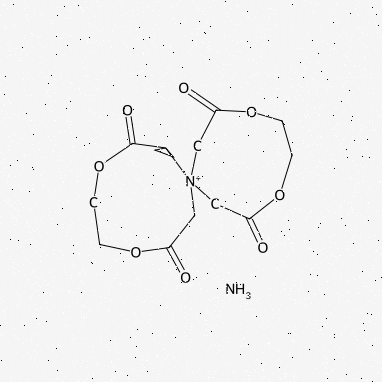 N.O=C1C[N+]2(CC(=O)OCCO1)CC(=O)OCCOC(=O)C21CC1